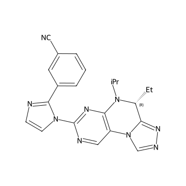 CC[C@@H]1c2nncn2-c2cnc(-n3ccnc3-c3cccc(C#N)c3)nc2N1C(C)C